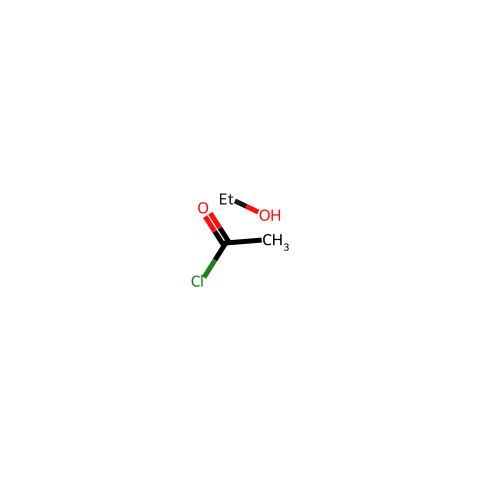 CC(=O)Cl.CCO